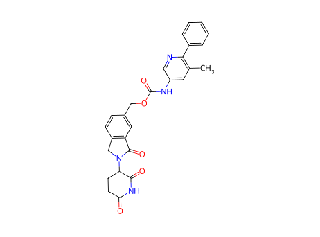 Cc1cc(NC(=O)OCc2ccc3c(c2)C(=O)N(C2CCC(=O)NC2=O)C3)cnc1-c1ccccc1